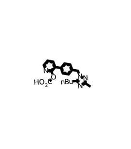 CCCCc1nc(C)nn1Cc1ccc(-c2cccnc2OC(=O)O)cc1